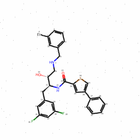 CCc1cccc(CNC[C@@H](O)[C@H](Cc2cc(F)cc(F)c2)NC(=O)c2cc(-c3ccccc3)cs2)c1